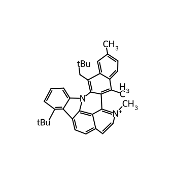 Cc1ccc2c(C)c3c(c(CC(C)(C)C)c2c1)n1c2cccc(C(C)(C)C)c2c2ccc4cc[n+](C)c3c4c21